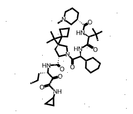 CCC[C@H](NC(=O)[C@@H]1C[C@@]2(CN1C(=O)[C@@H](NC(=O)[C@@H](NC(=O)[C@H]1CCCN(C)C1)C(C)(C)C)C1CCCCC1)C(C)(C)C21CCC1)C(=O)C(=O)NC1CC1